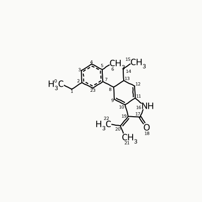 CCc1ccc(C)c(C2C=C3C(=CC2CC)NC(=O)C3=C(C)C)c1